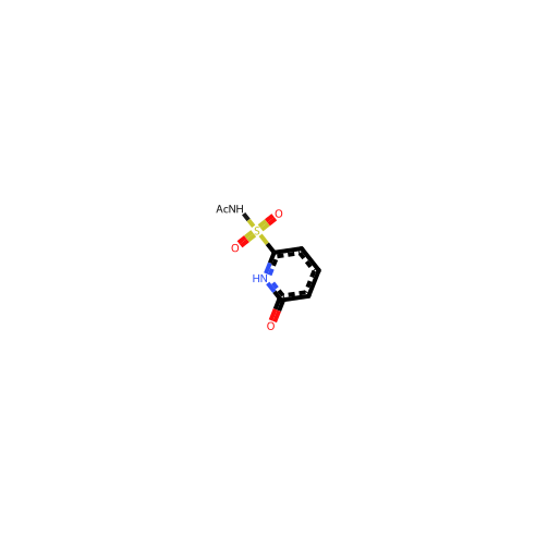 CC(=O)NS(=O)(=O)c1cccc(=O)[nH]1